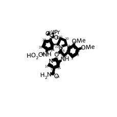 COc1ccc([C@H](Nc2cncc(C(N)=O)c2)C(=O)N2CCC[C@@H]2c2cc(NC(=O)O)ccc2S(=O)(=O)C(C)C)cc1OC